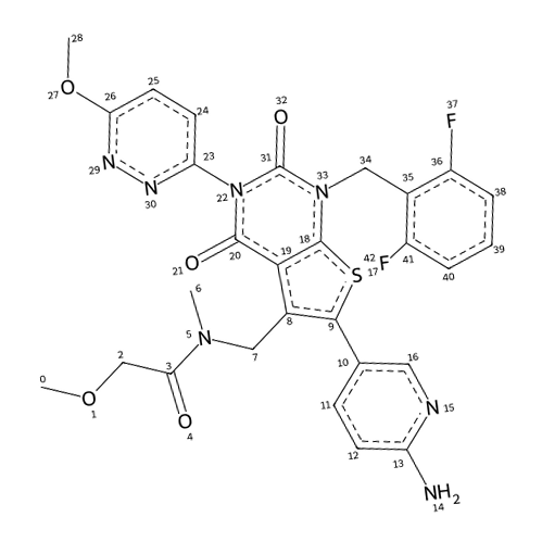 COCC(=O)N(C)Cc1c(-c2ccc(N)nc2)sc2c1c(=O)n(-c1ccc(OC)nn1)c(=O)n2Cc1c(F)cccc1F